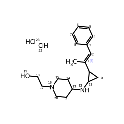 C/C(=C\c1ccccc1)C1CC1NC1CCN(CCO)CC1.Cl.Cl